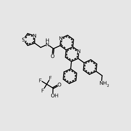 NCc1ccc(-c2nc3ccnc(C(=O)NCc4cscn4)c3cc2-c2ccccc2)cc1.O=C(O)C(F)(F)F